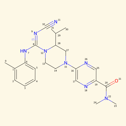 Cc1ccccc1N/C(=N/C#N)N1CCN(c2cnc(C(=O)N(C)C)cn2)CC1C(C)C